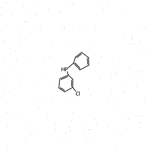 Clc1cccc(Pc2ccccc2)c1